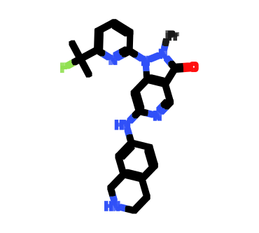 CC(C)n1c(=O)c2cnc(Nc3ccc4c(c3)CNCC4)cc2n1-c1cccc(C(C)(C)F)n1